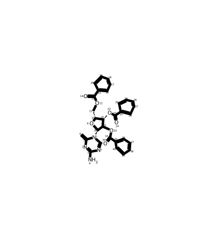 C=C1N=C(N)N=CN1[C@@H]1O[C@H](COC(=O)c2ccccc2)[C@H](OC(=O)c2ccccc2)C1OC(=O)c1ccccc1